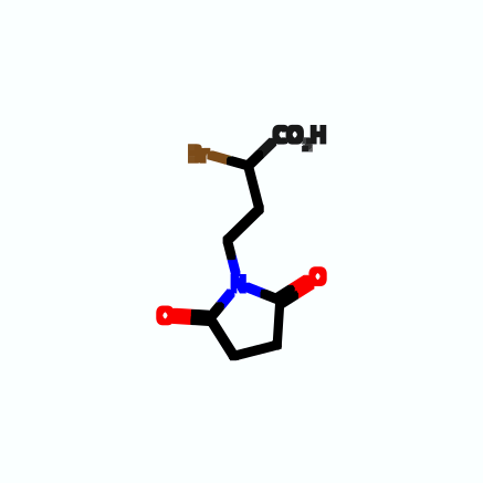 O=C(O)C(Br)CCN1C(=O)CCC1=O